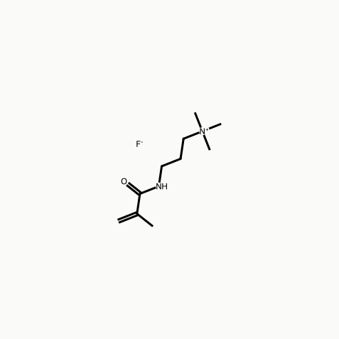 C=C(C)C(=O)NCCC[N+](C)(C)C.[F-]